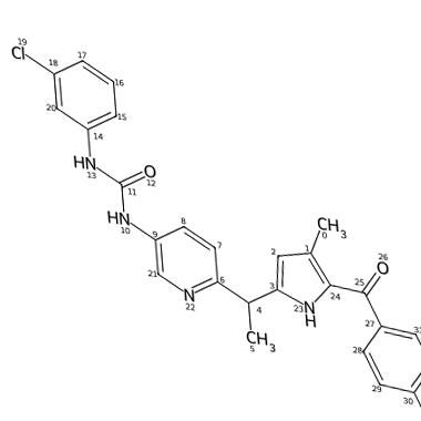 Cc1cc(C(C)c2ccc(NC(=O)Nc3cccc(Cl)c3)cn2)[nH]c1C(=O)c1ccc(Cl)cc1